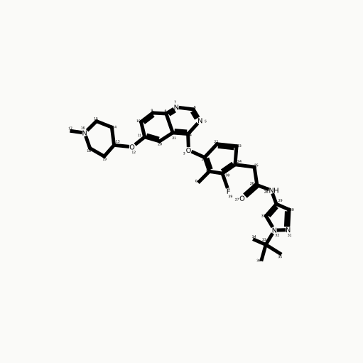 Cc1c(Oc2ncnc3ccc(OC4CCN(C)CC4)cc23)ccc(CC(=O)Nc2cnn(C(C)(C)C)c2)c1F